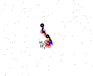 COC(=O)c1ncn(CCCc2ccc(OCc3coc(C=Cc4ccccc4)n3)cc2)c1C(=O)OC